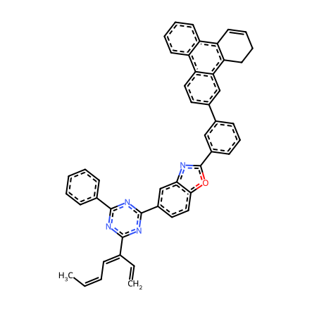 C=C/C(=C\C=C/C)c1nc(-c2ccccc2)nc(-c2ccc3oc(-c4cccc(-c5ccc6c(c5)c5c(c7ccccc76)C=CCC5)c4)nc3c2)n1